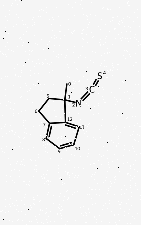 CC1(N=C=S)CCc2ccccc21